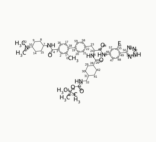 Cc1cc(C(=O)NC2CCC(N(C)C)CC2)ccc1-c1ccc(CC(NC(=O)C2CCC(CNC(=O)OC(C)(C)C)CC2)C(=O)Nc2ccc(-c3nn[nH]n3)c(F)c2)cc1